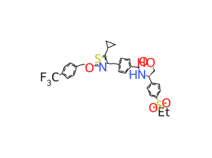 CCS(=O)(=O)c1ccc([C@H](CO)NC(=O)c2ccc(-c3nc(OCc4ccc(C(F)(F)F)cc4)sc3C3CC3)cc2)cc1